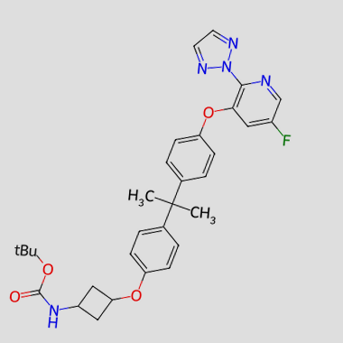 CC(C)(C)OC(=O)NC1CC(Oc2ccc(C(C)(C)c3ccc(Oc4cc(F)cnc4-n4nccn4)cc3)cc2)C1